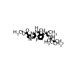 CCOC(=O)c1cnn2ccc(N[C@H](C)c3cc(F)ccc3O[C@H](CC)CNC(=O)OC(C)(C)C)nc12